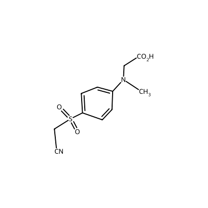 CN(CC(=O)O)c1ccc(S(=O)(=O)CC#N)cc1